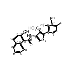 Cc1ccc(-c2scc(NC(=O)c3c(O)ccc4ccccc34)c2C(=O)O)c(F)c1F